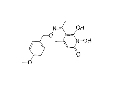 COc1ccc(CO/N=C(/C)c2c(C)cc(=O)n(O)c2O)cc1